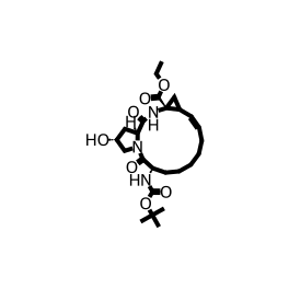 CCOC(=O)[C@@]12CC1/C=C\CCCCC[C@H](NC(=O)OC(C)(C)C)C(=O)N1C[C@H](O)C[C@H]1C(=O)N2